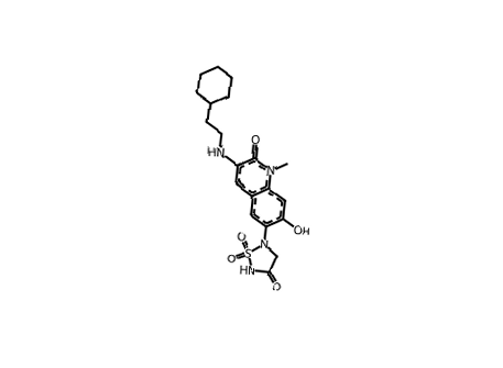 Cn1c(=O)c(NCCC2CCCCC2)cc2cc(N3CC(=O)NS3(=O)=O)c(O)cc21